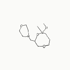 CO[Si]1(C)CCCOCC(CN2CCOCC2)O1